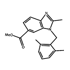 COC(=O)c1ccc2nc(C)n(Cc3c(C)cccc3C)c2c1